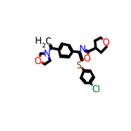 C=C(c1ccc(-c2nc(C3CCOCC3)oc2Sc2ccc(Cl)cc2)cc1)N1CCOC1